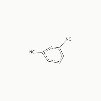 [C-]#[N+]c1cccc(C#N)c1